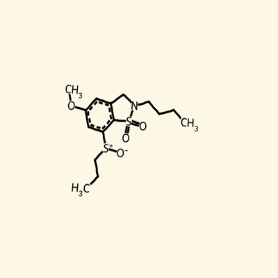 CCCCN1Cc2cc(OC)cc([S+]([O-])CCC)c2S1(=O)=O